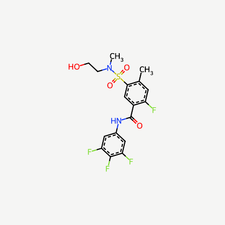 Cc1cc(F)c(C(=O)Nc2cc(F)c(F)c(F)c2)cc1S(=O)(=O)N(C)CCO